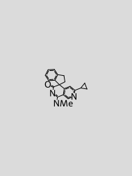 CNC1=NC(=O)C2(CCc3ccccc32)c2cc(C3CC3)ncc21